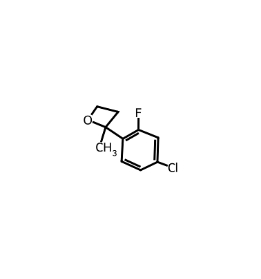 CC1(c2ccc(Cl)cc2F)CCO1